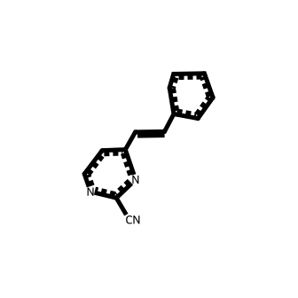 N#Cc1nccc(C=Cc2ccccc2)n1